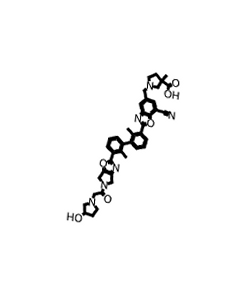 Cc1c(-c2nc3c(o2)CN(C(=O)CN2CCC(O)C2)C3)cccc1-c1cccc(-c2nc3cc(CN4CCC(C)(C(=O)O)C4)cc(C#N)c3o2)c1C